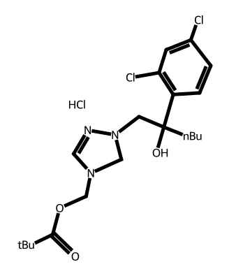 CCCCC(O)(CN1CN(COC(=O)C(C)(C)C)C=N1)c1ccc(Cl)cc1Cl.Cl